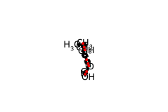 CC(C)(C)c1cccc(NC(=O)c2ccc(C3CCN(C(=O)CCc4cc(O)no4)CC3)cc2)c1